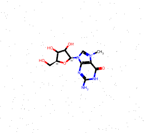 C[n+]1cn([C@H]2O[C@@H](CO)C(O)C2O)c2nc(N)[nH]c(=O)c21